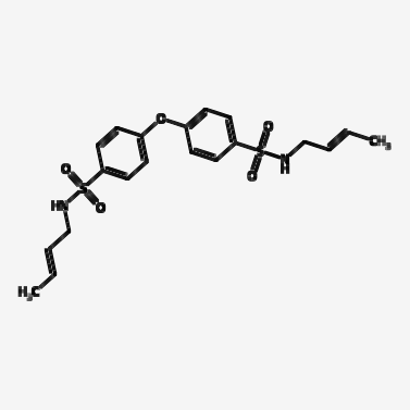 CC=CCNS(=O)(=O)c1ccc(Oc2ccc(S(=O)(=O)NCC=CC)cc2)cc1